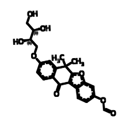 CC1(C)c2cc(OC[C@@H](O)[C@H](O)CO)ccc2C(=O)c2c1oc1cc(OC=O)ccc21